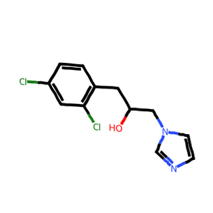 OC(Cc1ccc(Cl)cc1Cl)Cn1ccnc1